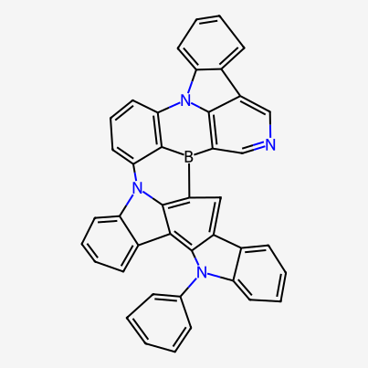 c1ccc(-n2c3ccccc3c3cc4c5c(c6ccccc6n5-c5cccc6c5B4c4cncc5c7ccccc7n-6c45)c32)cc1